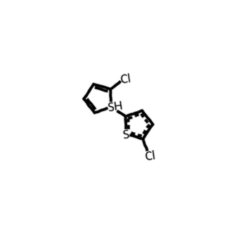 ClC1=CC=C[SH]1c1ccc(Cl)s1